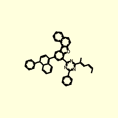 C/C=C\C=C(/C)c1nc(-c2ccccc2)nc(-c2cc(C3=C4C=CC=CC4C(c4ccccc4)C=C3)cc3c2oc2ccc4ccccc4c23)n1